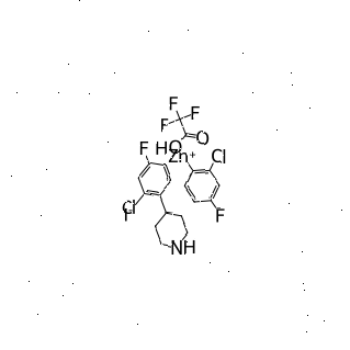 Fc1cc[c]([Zn+])c(Cl)c1.Fc1ccc(C2CCNCC2)c(Cl)c1.O=C(O)C(F)(F)F.[I-]